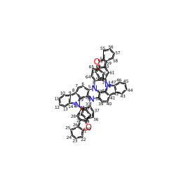 c1ccc(N2c3ccc4c5ccccc5n(-c5ccc6oc7ccccc7c6c5)c4c3N(c3ccccc3)c3ccc4c5ccccc5n(-c5ccc6oc7ccccc7c6c5)c4c32)cc1